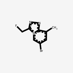 Cc1cc(Br)cn2c(CF)nnc12